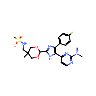 CN(C)c1nccc(-c2[nH]c(C3OCC(C)(CNS(C)(=O)=O)CO3)nc2-c2ccc(F)cc2)n1